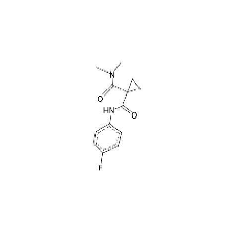 CN(C)C(=O)C1(C(=O)Nc2ccc(F)cc2)CC1